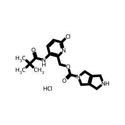 CC(C)(C)C(=O)Nc1ccc(Cl)nc1COC(=O)N1CC2=C(CNC2)C1.Cl